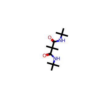 CC(C)(C)NC(=O)C(C)(C)C(=O)NC(C)(C)C